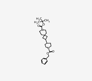 CC(C)(C)OC(=O)N1CCC2(CC1)CC(C1CCN(C(=O)OCc3ccccc3)CC1)C2